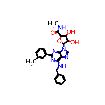 CNC(=O)C1OC(n2cnc3c(NCc4ccccc4)nc(-c4cccc(C)c4)nc32)C(O)C1O